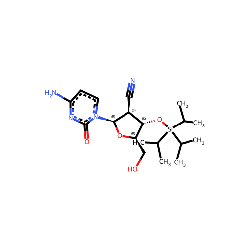 CC(C)[Si](O[C@H]1[C@H](C#N)[C@H](n2ccc(N)nc2=O)O[C@@H]1CO)(C(C)C)C(C)C